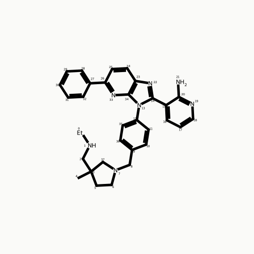 CCNCC1(C)CCN(Cc2ccc(-n3c(-c4cccnc4N)nc4ccc(-c5ccccc5)nc43)cc2)C1